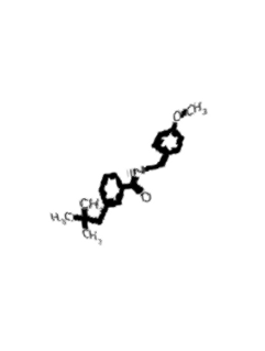 COc1ccc(CNC(=O)c2cccc(CC(C)(C)C)c2)cc1